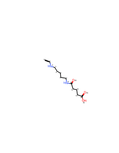 C=CNCCCCCNC(=O)CCCC(=O)O